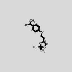 CC(O)c1ccc(OCCC2COC(C)(C)O2)cc1